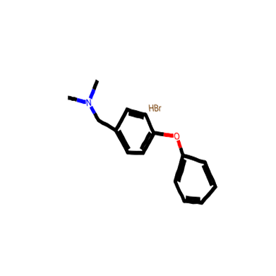 Br.CN(C)Cc1ccc(Oc2ccccc2)cc1